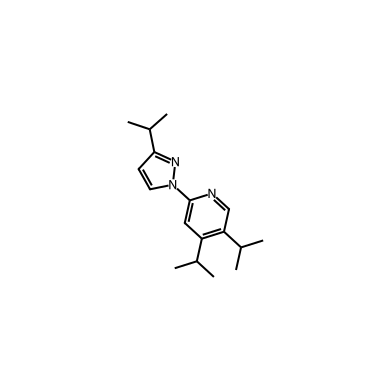 CC(C)c1ccn(-c2cc(C(C)C)c(C(C)C)cn2)n1